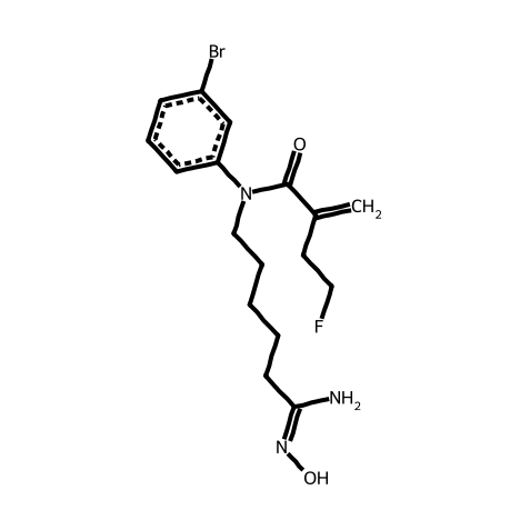 C=C(CCF)C(=O)N(CCCCC/C(N)=N/O)c1cccc(Br)c1